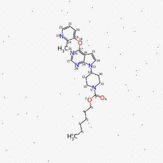 CCCCCCOC(=O)N1CCC(n2ccc3c(Oc4cccnc4C)ncnc32)CC1